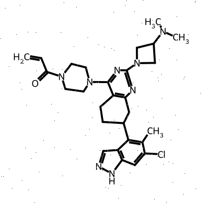 C=CC(=O)N1CCN(c2nc(N3CC(N(C)C)C3)nc3c2CCC(c2c(C)c(Cl)cc4[nH]ncc24)C3)CC1